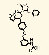 O=C(O)Nc1cccc(COc2ccc([C@H](CC(=O)N3C(=O)OC[C@@H]3Cc3ccccc3)c3ccon3)cc2)c1